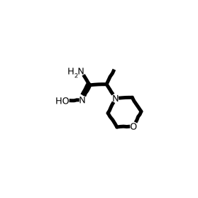 CC(C(N)=NO)N1CCOCC1